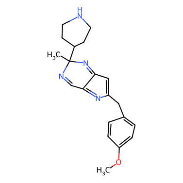 COc1ccc(CC2=CC3=NC(C)(C4CCNCC4)N=CC3=N2)cc1